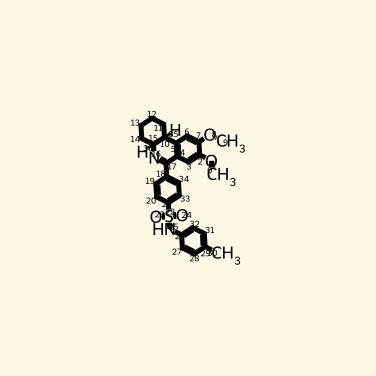 COc1cc2c(cc1OC)[C@H]1CCCC[C@H]1N=C2c1ccc(S(=O)(=O)Nc2ccc(C)cc2)cc1